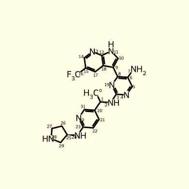 CC(Nc1ncc(N)c(-c2c[nH]c3ncc(C(F)(F)F)cc23)n1)c1ccc(N[C@@H]2CCNC2)nc1